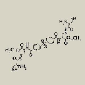 CCOC(=O)C(CSSC(=O)[C@@H](N)CS)NC(=O)c1ccc(S(=O)(=O)c2ccc(C(=O)NC(CSSC(=O)[C@@H](N)CS)C(=O)OCC)cc2)cc1